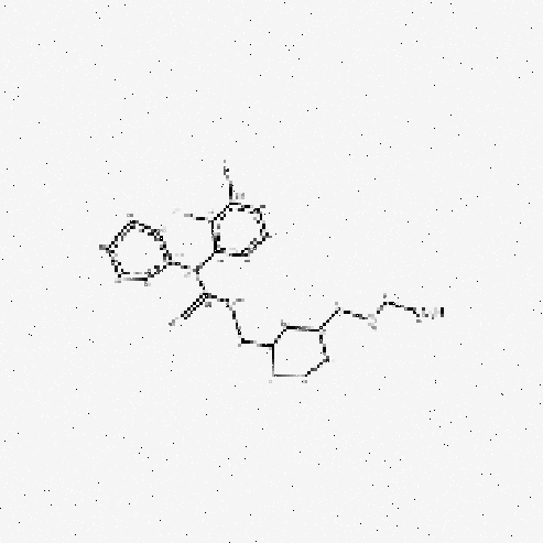 O=C(O)COCC1CCCC(COC(=O)N(c2ccccc2)c2cccc(F)c2F)C1